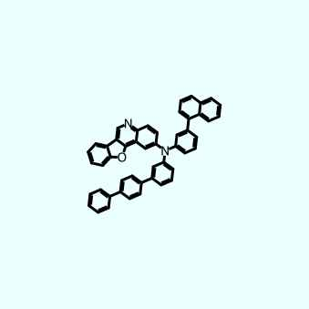 c1ccc(-c2ccc(-c3cccc(N(c4cccc(-c5cccc6ccccc56)c4)c4ccc5ncc6c7ccccc7oc6c5c4)c3)cc2)cc1